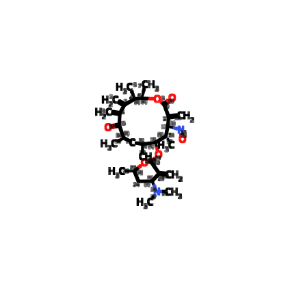 C=C1C(=C)[C@@H](C)[C@@H](C)OC(=O)C(=C)[C@@H](N=O)[C@H](C)[C@@H](O[C@@H]2O[C@H](C)C[C@H](N(C)C)C2=C)[C@@H](C)C[C@@H](C)C1=O